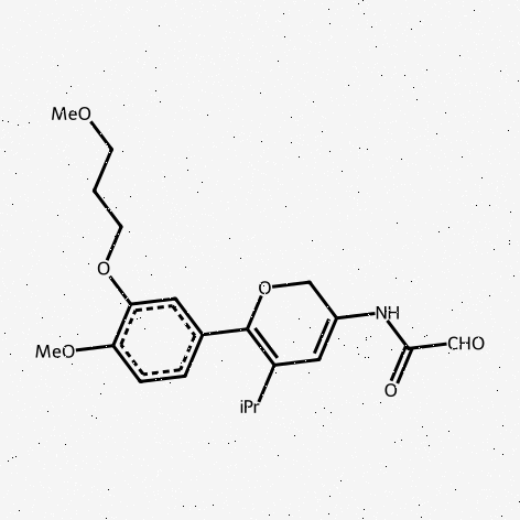 COCCCOc1cc(C2=C(C(C)C)C=C(NC(=O)C=O)CO2)ccc1OC